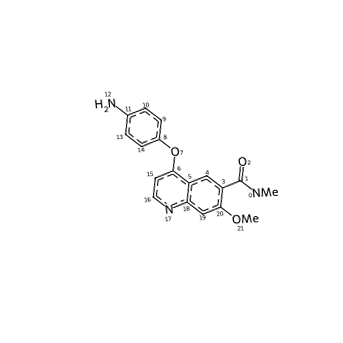 CNC(=O)c1cc2c(Oc3ccc(N)cc3)ccnc2cc1OC